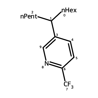 CCCCCCC(CCCCC)c1ccc(C(F)(F)F)nc1